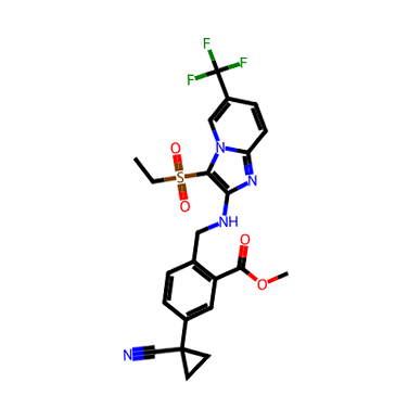 CCS(=O)(=O)c1c(NCc2ccc(C3(C#N)CC3)cc2C(=O)OC)nc2ccc(C(F)(F)F)cn12